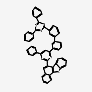 c1ccc(-c2cc(-c3cccc(-c4cccc(-c5nc(-c6ccccc6)nc(-c6ccccc6)n5)c4)c3)nc(-c3cc4ccccc4c4sc5ccccc5c34)n2)cc1